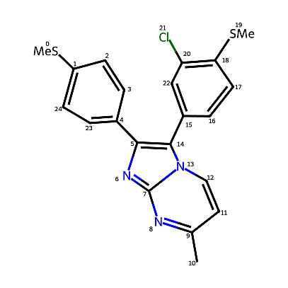 CSc1ccc(-c2nc3nc(C)ccn3c2-c2ccc(SC)c(Cl)c2)cc1